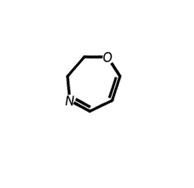 C1=COCCN=C1